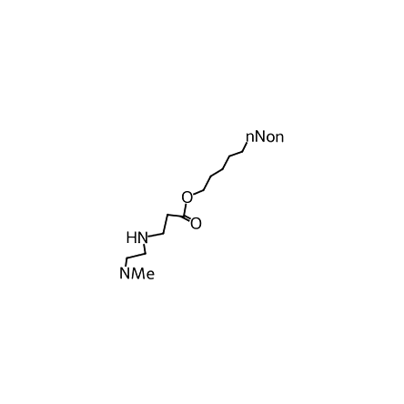 CCCCCCCCCCCCCCOC(=O)CCNCCNC